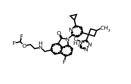 CC1CC(c2cc(C3CC3)nc(N3C(=O)c4cc(CNCCOC(F)F)cc5c(F)ccc3c45)c2)(c2nncn2C)C1